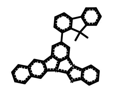 CC1(C)c2ccccc2-c2cccc(-c3cc4c5cc6ccccc6cc5n5c4c(c3)n3c4ccccc4nc35)c21